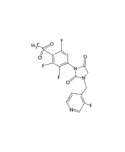 CS(=O)(=O)c1c(F)cc(N2C(=O)CN(Cc3ccncc3F)C2=O)c(F)c1F